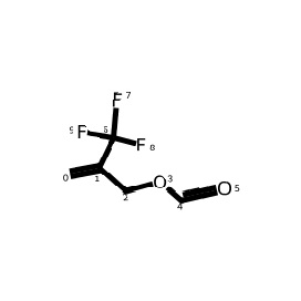 C=C(COC=O)C(F)(F)F